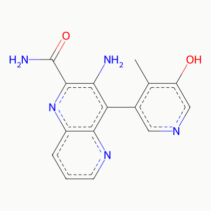 Cc1c(O)cncc1-c1c(N)c(C(N)=O)nc2cccnc12